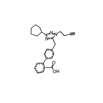 C#CCCn1nc(C2CCCCC2)nc1Cc1ccc(-c2ccccc2C(=O)O)cc1